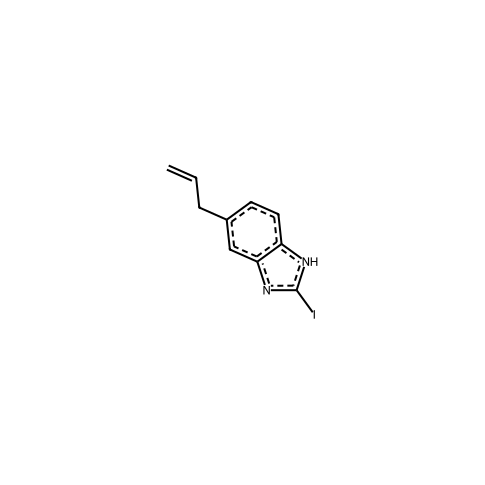 C=CCc1ccc2[nH]c(I)nc2c1